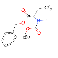 CN(C(=O)OC(C)(C)C)C(CC(F)(F)F)C(=O)OCc1ccccc1